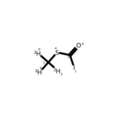 [2H]C([2H])([2H])SC(=O)I